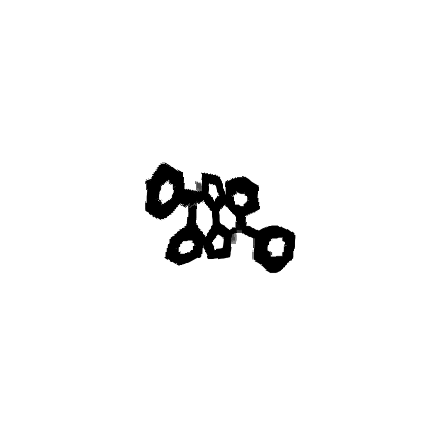 c1ccc(P(c2ccccc2)[C@@H]2CCCC2C2CCC[C@@H]2P(c2ccccc2)c2ccccc2)cc1